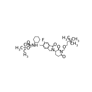 CC(C)(C)OC(=O)N[C@H]1CCCC[C@@H]1Cc1cc2c(cc1F)C(=O)N(C1CCC(=O)N(COCC[Si](C)(C)C)C1=O)C2